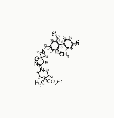 CCOC(=O)C1(C)CCN(C2=NOC3(C2)CN(Cc2cc(C)c(-c4ccc(F)cc4)c(OCC)c2)C3)CC1